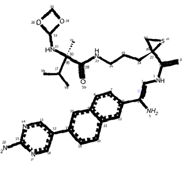 C=C(N/C=C(\N)c1ccc2cc(-c3cnc(N)nc3)ccc2c1)[C@]1(CCCNC(=O)[C@](C)(NC2OCO2)C(C)C)CS1